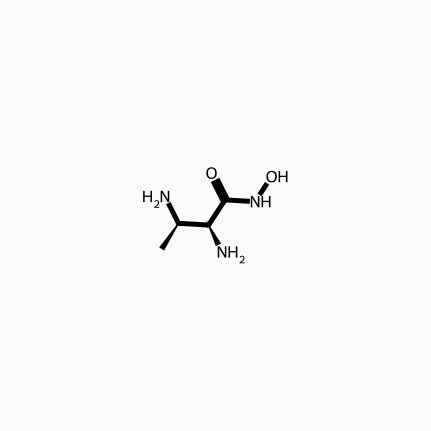 C[C@@H](N)[C@H](N)C(=O)NO